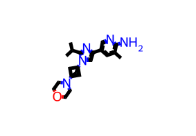 Cc1cc(-c2cn(C34CC(N5CCOCC5)(C3)C4)c(C(C)C)n2)cnc1N